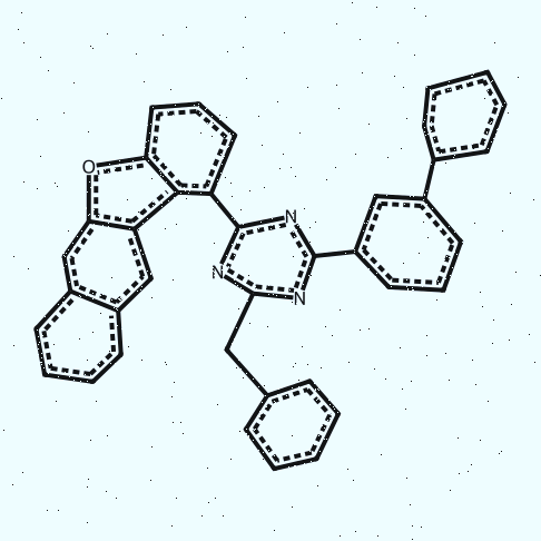 c1ccc(Cc2nc(-c3cccc(-c4ccccc4)c3)nc(-c3cccc4oc5cc6ccccc6cc5c34)n2)cc1